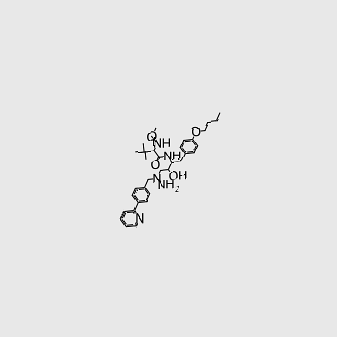 CCCCOc1ccc(CC(NC(=O)C(NOC)C(C)(C)C)C(O)CN(N)Cc2ccc(-c3ccccn3)cc2)cc1